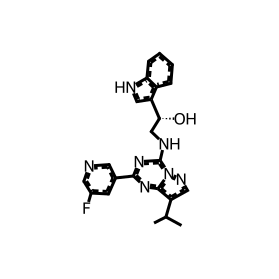 CC(C)c1cnn2c(NC[C@@H](O)c3c[nH]c4ccccc34)nc(-c3cncc(F)c3)nc12